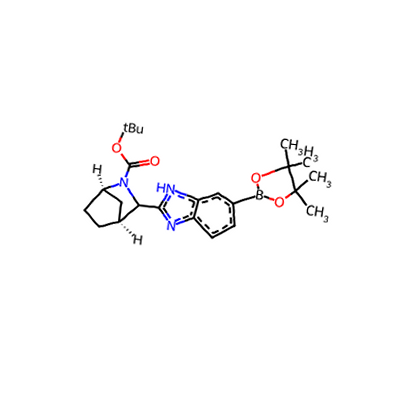 CC(C)(C)OC(=O)N1C(c2nc3ccc(B4OC(C)(C)C(C)(C)O4)cc3[nH]2)[C@H]2CC[C@@H]1C2